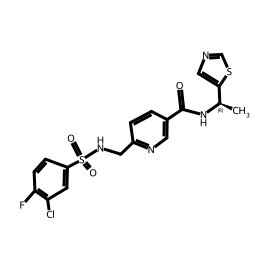 C[C@@H](NC(=O)c1ccc(CNS(=O)(=O)c2ccc(F)c(Cl)c2)nc1)c1cncs1